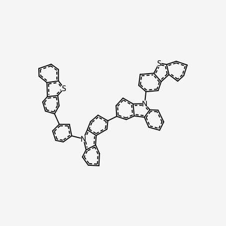 c1cc(-c2ccc3c(c2)sc2ccccc23)cc(-n2c3ccccc3c3cc(-c4ccc5c(c4)c4ccccc4n5-c4ccc5sc6ccccc6c5c4)ccc32)c1